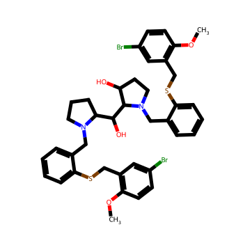 COc1ccc(Br)cc1CSc1ccccc1CN1CCCC1C(O)C1C(O)CCN1Cc1ccccc1SCc1cc(Br)ccc1OC